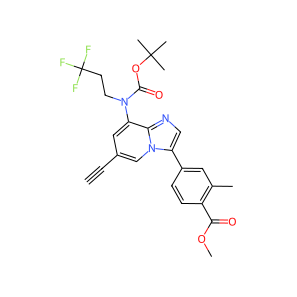 C#Cc1cc(N(CCC(F)(F)F)C(=O)OC(C)(C)C)c2ncc(-c3ccc(C(=O)OC)c(C)c3)n2c1